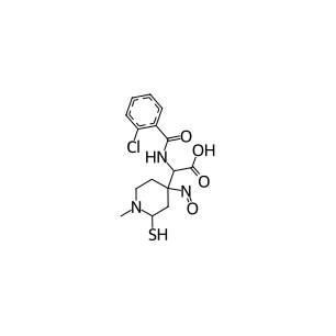 CN1CCC(N=O)(C(NC(=O)c2ccccc2Cl)C(=O)O)CC1S